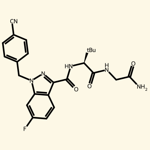 CC(C)(C)[C@H](NC(=O)c1nn(Cc2ccc(C#N)cc2)c2cc(F)ccc12)C(=O)NCC(N)=O